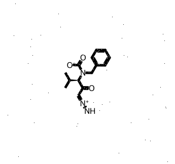 CC(C)[C@H](C(=O)C=[N+]=N)N(Cc1ccccc1)C(=O)[O-]